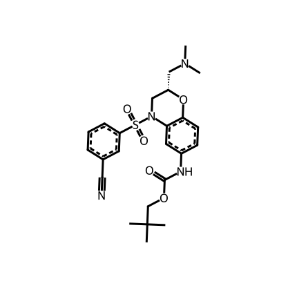 CN(C)C[C@H]1CN(S(=O)(=O)c2cccc(C#N)c2)c2cc(NC(=O)OCC(C)(C)C)ccc2O1